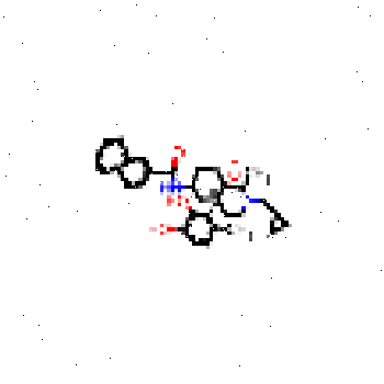 Cc1ccc(O)c(O)c1[C@]12CCN(CC3CC3)C(C)C1(O)CCC(NC(=O)c1ccc3ccccc3c1)C2